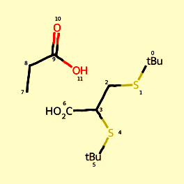 CC(C)(C)SCC(SC(C)(C)C)C(=O)O.CCC(=O)O